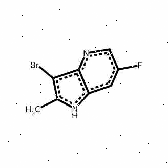 Cc1[nH]c2cc(F)cnc2c1Br